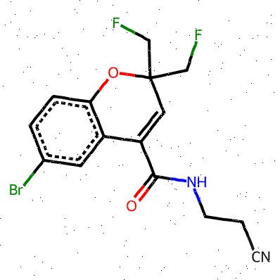 N#CCCNC(=O)C1=CC(CF)(CF)Oc2ccc(Br)cc21